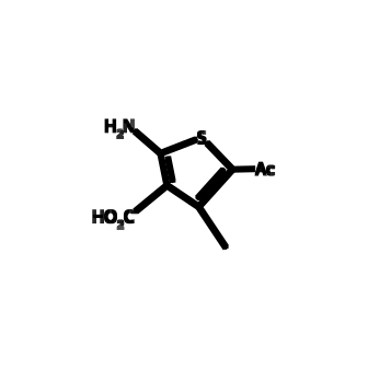 CC(=O)c1sc(N)c(C(=O)O)c1C